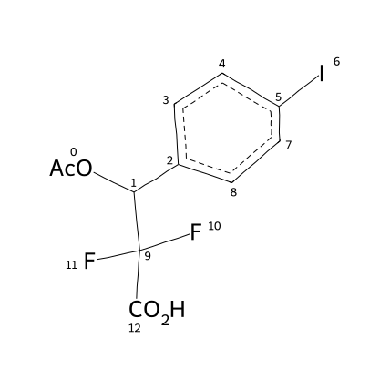 CC(=O)OC(c1ccc(I)cc1)C(F)(F)C(=O)O